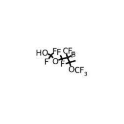 CC(C)(OC(F)(F)F)C(F)(C(F)(F)F)C(F)(F)OC(O)(F)F